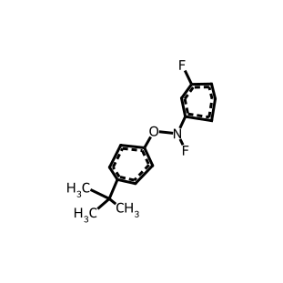 CC(C)(C)c1ccc(ON(F)c2cccc(F)c2)cc1